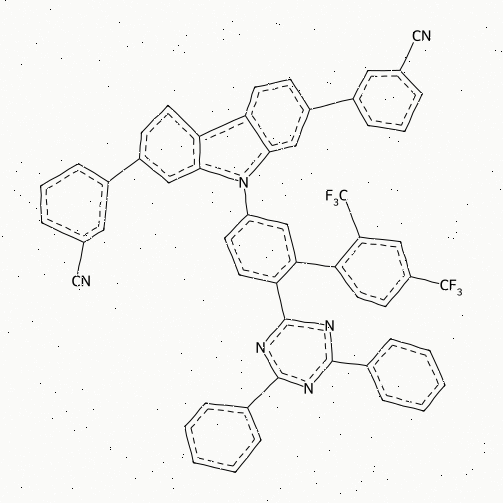 N#Cc1cccc(-c2ccc3c4ccc(-c5cccc(C#N)c5)cc4n(-c4ccc(-c5nc(-c6ccccc6)nc(-c6ccccc6)n5)c(-c5ccc(C(F)(F)F)cc5C(F)(F)F)c4)c3c2)c1